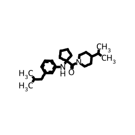 CC(C)Cc1cccc(NC2(C(=O)N3CCC(C(C)C)CC3)CCCC2)c1